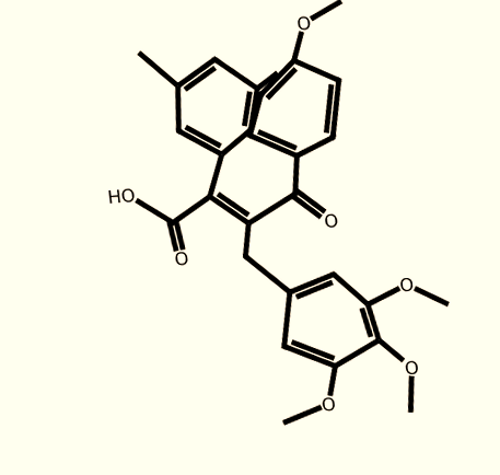 COc1ccc(C(=O)C(Cc2cc(OC)c(OC)c(OC)c2)=C(C(=O)O)c2cc(C)cc(C)c2)cc1